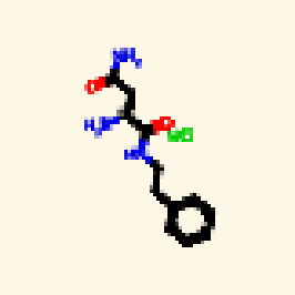 Cl.NC(=O)C[C@H](N)C(=O)NCCc1ccccc1